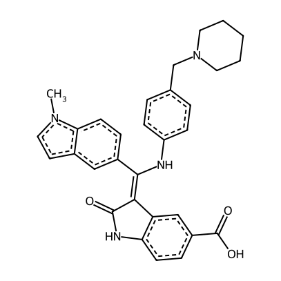 Cn1ccc2cc(C(Nc3ccc(CN4CCCCC4)cc3)=C3C(=O)Nc4ccc(C(=O)O)cc43)ccc21